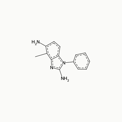 Cc1c(N)ccc2c1nc(N)n2-c1ccccc1